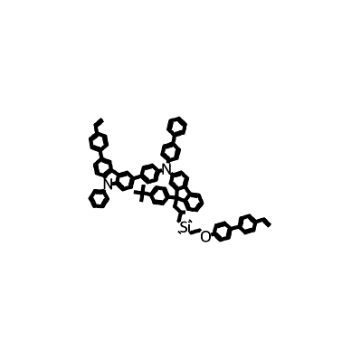 C=Cc1ccc(-c2ccc(OCC[Si](C)(C)CC(C)CC3(c4ccc(C(C)(C)C)cc4)c4ccccc4-c4ccc(N(c5ccc(-c6ccccc6)cc5)c5ccc(-c6ccc7c(c6)c6cc(-c8ccc(C=C)cc8)ccc6n7-c6ccccc6)cc5)cc43)cc2)cc1